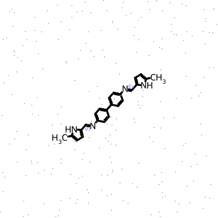 Cc1ccc(/C=N/c2ccc(-c3ccc(/N=C/c4ccc(C)[nH]4)cc3)cc2)[nH]1